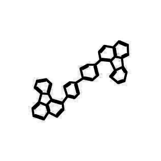 c1ccc2c(c1)-c1cccc3ccc(-c4ccc(-c5ccc(-c6ccc7cccc8c7c6-c6ccccc6-8)cc5)cc4)c-2c13